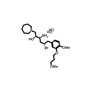 COCCCOc1cc(C[C@@H](C[C@H](N)[C@@H](O)CN2CCCCCC2)C(C)C)ccc1OC.Cl.Cl